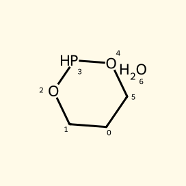 C1COPOC1.O